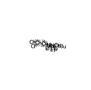 CC[C@H](NC(=O)OC(C)(C)C)C(=O)Nc1ccc(-c2ccc(Cl)c(Cl)c2)cc1